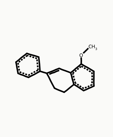 COc1cccc2c1C=C(c1ccccc1)CC2